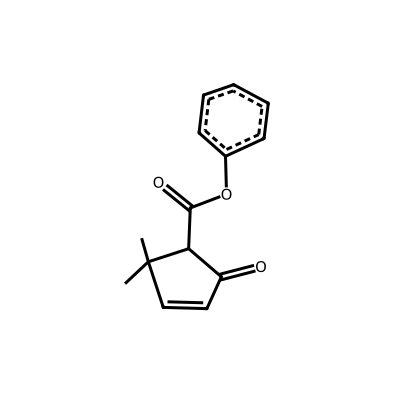 CC1(C)C=CC(=O)C1C(=O)Oc1ccccc1